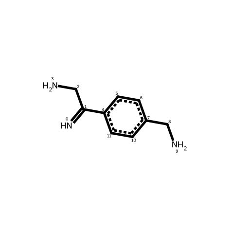 N=C(CN)c1ccc(CN)cc1